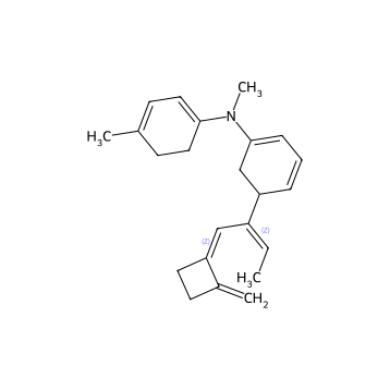 C=C1CC/C1=C/C(=C\C)C1C=CC=C(N(C)C2=CC=C(C)CC2)C1